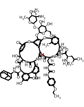 CCOc1ccc(NC(=O)NC(=O)C[C@@H]2NC(=O)[C@H](NC(=O)[C@@H](CC(C)C)NC)[C@H](O)c3ccc(c(C)c3)Oc3cc4cc(c3O[C@@H]3O[C@H](CO)[C@@H](O)[C@H](O)[C@H]3O[C@H]3C[C@](C)(N)[C@H](O)[C@H](C)O3)Oc3ccc(cc3Cl)[C@@H](O)[C@@H]3NC(=O)[C@H](NC(=O)[C@@H]4NC2=O)c2ccc(O)c(c2)-c2c(O)cc(O)cc2[C@@H](C(=O)NC2C4CC5CC(C4)CC2C5)NC3=O)cc1